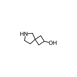 OC1CC2(CCNC2)C1